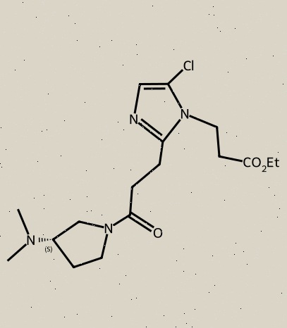 CCOC(=O)CCn1c(Cl)cnc1CCC(=O)N1CC[C@H](N(C)C)C1